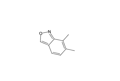 Cc1ccc2conc2c1C